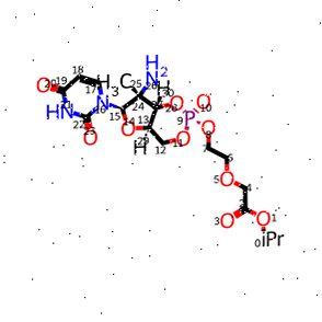 CC(C)OC(=O)COCCO[P@]1(=O)OC[C@H]2O[C@@H](n3ccc(=O)[nH]c3=O)[C@](C)(N)[C@@H]2O1